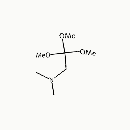 COC(CN(C)C)(OC)OC